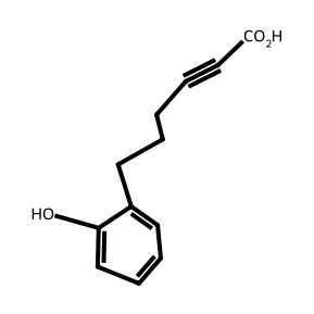 O=C(O)C#CCCCc1ccccc1O